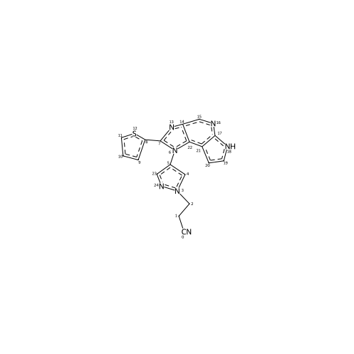 N#CCCn1cc(-n2c(-c3cccs3)nc3cnc4[nH]ccc4c32)cn1